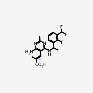 C/C(=C\c1c(N)nc(C)nc1NC(C)c1cccc(C(F)F)c1F)C(=O)O